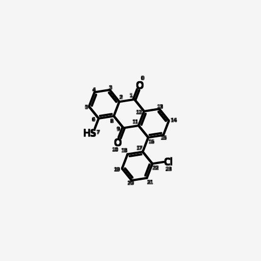 O=C1c2cccc(S)c2C(=O)c2c1cccc2-c1ccccc1Cl